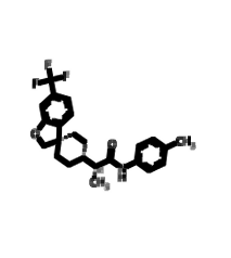 Cc1ccc(NC(=O)[C@H](C)[C@H]2CC[C@]3(CC2)COc2cc(C(F)(F)F)ccc23)cc1